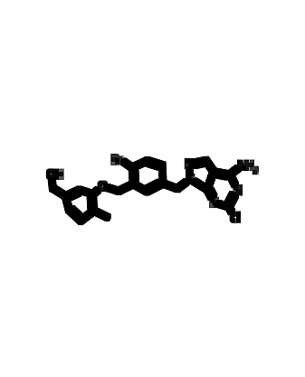 Cc1ccc(CO)cc1OCc1cc(Cn2ncc3c(N)nc(Cl)nc32)ccc1Br